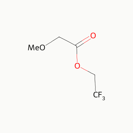 COCC(=O)OCC(F)(F)F